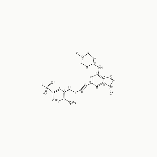 COc1ccc(S(C)(=O)=O)cc1NCC#Cc1cc(NC2CCN(C)CC2)c2ccn(C(C)C)c2c1